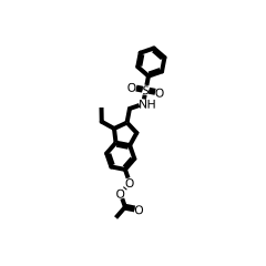 CCC1c2ccc(OOC(C)=O)cc2CC1CNS(=O)(=O)c1ccccc1